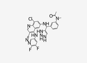 CC(=O)N(C)c1cccc([C@H](Nc2cc(Cl)c3ncc(C#N)c(Nc4cnc(F)c(F)c4)c3c2)C2=CNNN2)c1